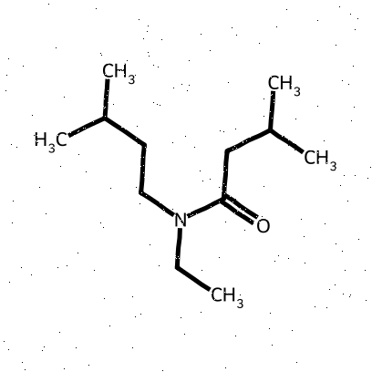 CCN(CCC(C)C)C(=O)CC(C)C